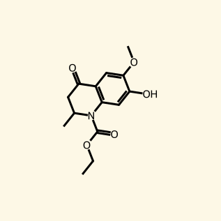 CCOC(=O)N1c2cc(O)c(OC)cc2C(=O)CC1C